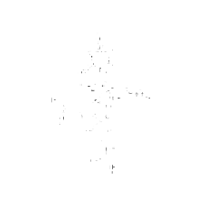 CC(C)(C)C(=O)OCOP(=O)(OCOC(=O)C(C)(C)C)OC1[C@@]2(CN=[N+]=[N-])O[C@@H](n3ccc(=O)[nH]c3=O)[C@H](F)[C@@]12O